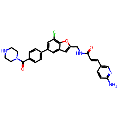 Nc1ccc(/C=C/C(=O)NCc2cc3cc(-c4ccc(C(=O)N5CCNCC5)cc4)cc(Cl)c3o2)cn1